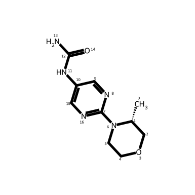 C[C@@H]1COCCN1c1ncc(NC(N)=O)cn1